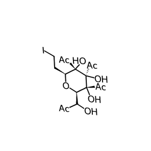 CC(=O)C(O)[C@H]1O[C@@H](CCI)[C@@](O)(C(C)=O)[C@](O)(C(C)=O)[C@@]1(O)C(C)=O